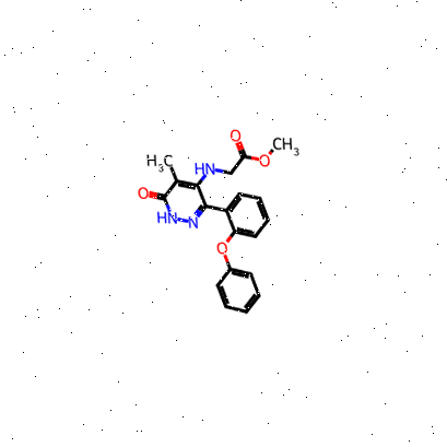 COC(=O)CNc1c(-c2ccccc2Oc2ccccc2)n[nH]c(=O)c1C